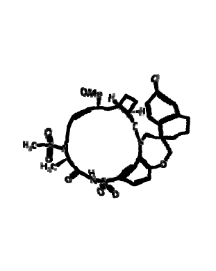 CO[C@@H]1C=CCN(S(C)(=O)=O)[C@H](C)C(=O)NS(=O)(=O)c2ccc3c(c2)N(C[C@@H]2CC[C@H]21)C[C@@]1(CCCc2cc(Cl)ccc21)CO3